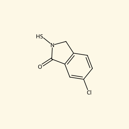 O=C1c2cc(Cl)ccc2CN1S